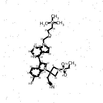 CCS(=O)(=O)N1CC(CC#N)(n2cc(-c3ncnc4c3ccn4COCC[Si](C)(C)C)c3ccc(F)cc32)C1